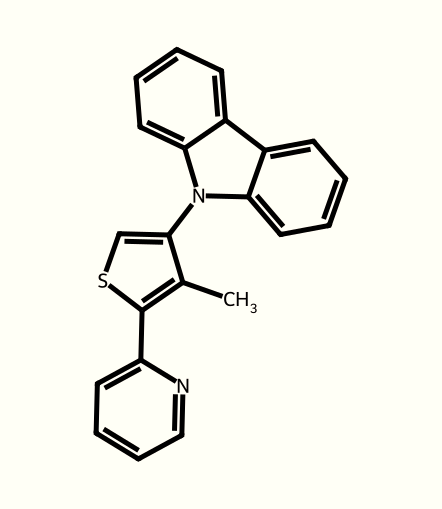 Cc1c(-n2c3ccccc3c3ccccc32)csc1-c1ccccn1